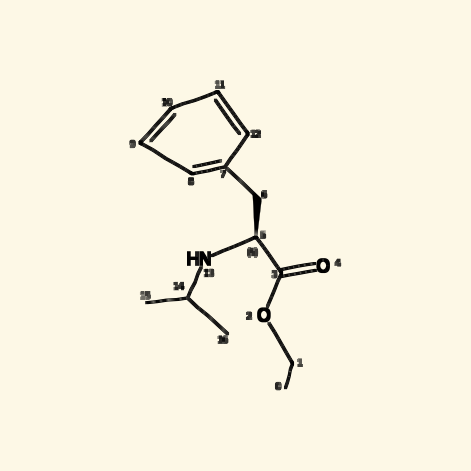 CCOC(=O)[C@H](Cc1ccccc1)NC(C)C